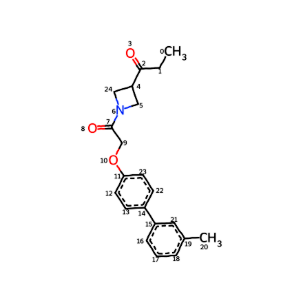 CCC(=O)C1CN(C(=O)COc2ccc(-c3cccc(C)c3)cc2)C1